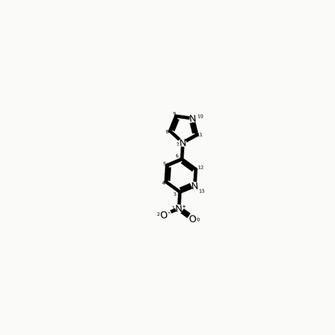 O=[N+]([O-])c1ccc(-n2ccnc2)cn1